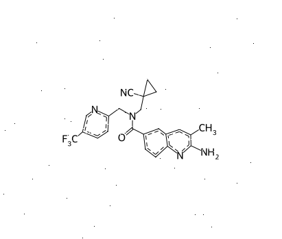 Cc1cc2cc(C(=O)N(Cc3ccc(C(F)(F)F)cn3)CC3(C#N)CC3)ccc2nc1N